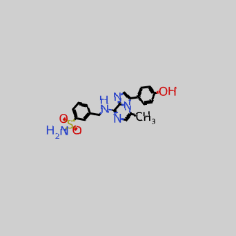 Cc1cnc(NCc2cccc(S(N)(=O)=O)c2)c2ncc(-c3ccc(O)cc3)n12